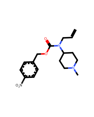 C=CCN(C(=O)OCc1ccc([N+](=O)[O-])cc1)C1CCN(C)CC1